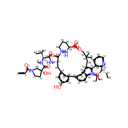 C=CC(=O)N1CC[C@](O)(C(=O)N(C)[C@H](C(=O)N[C@H]2Cc3cc(O)cc(c3)-c3ccc4c(c3)c(c(-c3cccnc3[C@H](CC)OC)n4CC)CC(C)(C)COC(=O)[C@@]3(O)CCCN(N3)C2=O)C(C)C)C1